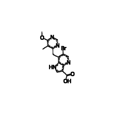 COc1ncnc(Cc2c(Br)cnc3c(C(=O)O)c[nH]c23)c1C